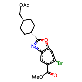 COC(=O)c1cc2nc([C@H]3CC[C@H](COC(C)=O)CC3)oc2cc1Br